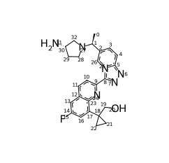 C[C@@H](c1ccc2nnc(-c3ccc4cc(F)cc(C5(CO)CC5)c4n3)n2c1)N1CC[C@H](N)C1